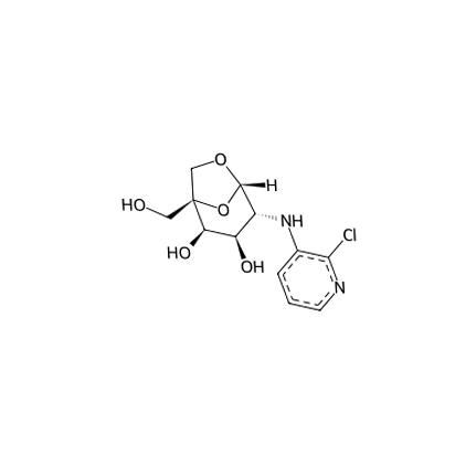 OC[C@@]12CO[C@@H](O1)[C@H](Nc1cccnc1Cl)[C@@H](O)[C@H]2O